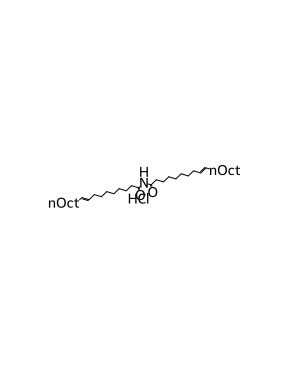 CCCCCCCCC=CCCCCCCCC(=O)NC(=O)CCCCCCCC=CCCCCCCCC.Cl